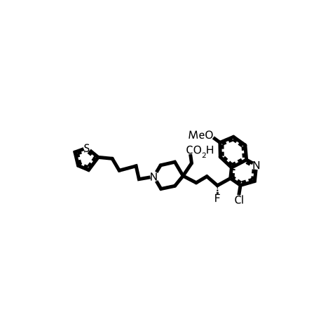 COc1ccc2ncc(Cl)c([C@H](F)CCC3(CC(=O)O)CCN(CCCCc4cccs4)CC3)c2c1